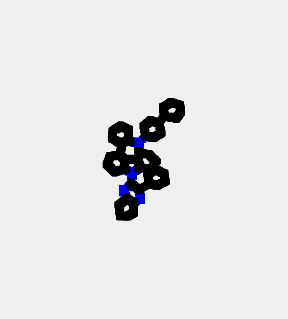 c1ccc(-c2ccc(-n3c4ccccc4c4cccc5c4c4c3cccc4n5-c3nc4ccccc4nc3-c3ccccc3)cc2)cc1